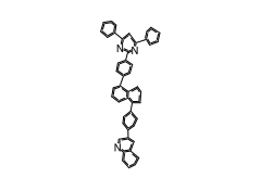 c1ccc(-c2cc(-c3ccccc3)nc(-c3ccc(-c4cccc5c(-c6ccc(-c7cnc8ccccc8c7)cc6)cccc45)cc3)n2)cc1